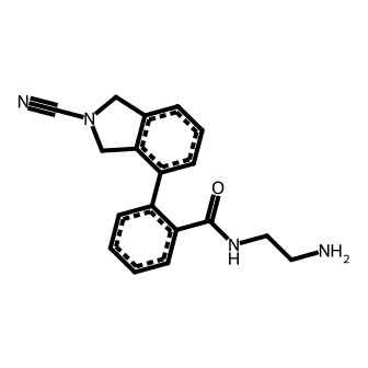 N#CN1Cc2cccc(-c3ccccc3C(=O)NCCN)c2C1